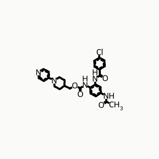 CC(=O)Nc1ccc(NC(=O)OCC2CCN(c3ccncc3)CC2)c(NC(=O)c2ccc(Cl)cc2)c1